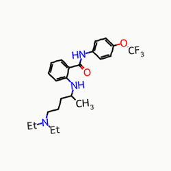 CCN(CC)CCCC(C)Nc1ccccc1C(=O)Nc1ccc(OC(F)(F)F)cc1